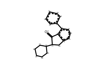 O=C1c2c(cccc2-c2ccccc2)CC1C1CCCCC1